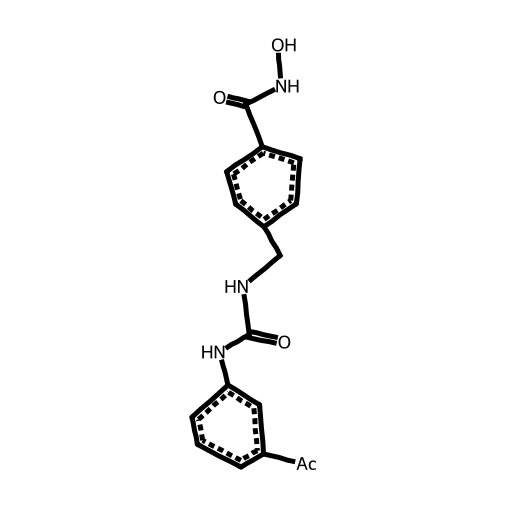 CC(=O)c1cccc(NC(=O)NCc2ccc(C(=O)NO)cc2)c1